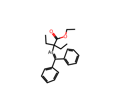 CCOC(=O)C(CC)(CC)[As]=C(c1ccccc1)c1ccccc1